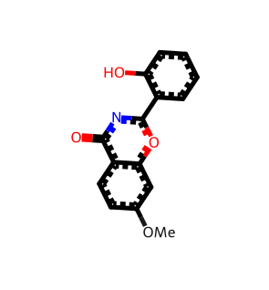 COc1ccc2c(=O)nc(-c3ccccc3O)oc2c1